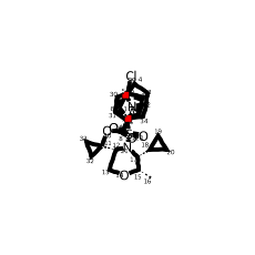 CC(=O)N1C2CCC1CN(C(=O)OC1([C@H]3CO[C@@H](C)[C@@H](C4CC4)N3S(=O)(=O)c3ccc(Cl)cc3)CC1)C2